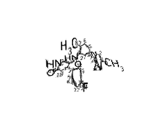 Cc1cn(-c2ccc(C)c(NC(=O)C3=CNC(=O)C[C@H]3c3ccc(F)cc3)c2)cn1